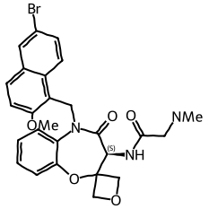 CNCC(=O)N[C@@H]1C(=O)N(Cc2c(OC)ccc3cc(Br)ccc23)c2ccccc2OC12COC2